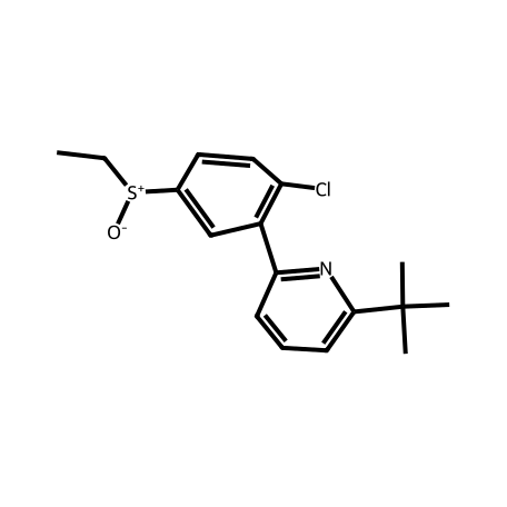 CC[S+]([O-])c1ccc(Cl)c(-c2cccc(C(C)(C)C)n2)c1